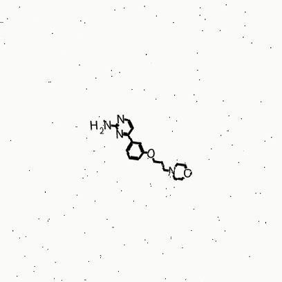 Nc1nccc(-c2cccc(OCCCN3CCOCC3)c2)n1